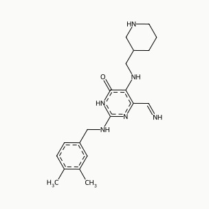 Cc1ccc(CNc2nc(C=N)c(NCC3CCCNC3)c(=O)[nH]2)cc1C